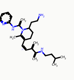 C=C(/C=C\C1=C(C)N(C(=C)Nc2ccccn2)C(CCN)CC1)C(=C)NCCC(C)C